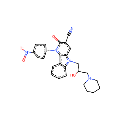 N#Cc1cc2c(c3ccccc3n2CC(O)CN2CCCCC2)n(-c2ccc([N+](=O)[O-])cc2)c1=O